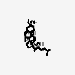 CC[C@]1(O)CC[C@H]2C(=CC[C@@H]3C2CC[C@]2(C)[C@@H]([C@H](C)[C@@H](O)CCC(C)C)CC[C@@H]32)C1